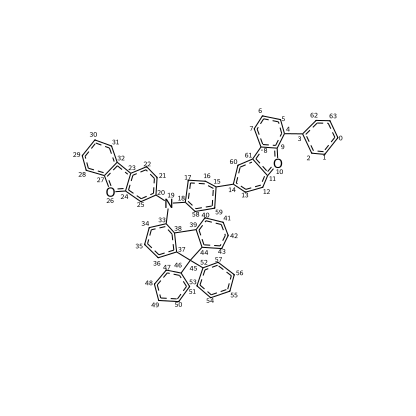 c1ccc(-c2cccc3c2oc2ccc(-c4ccc(N(c5ccc6c(c5)oc5ccccc56)c5cccc6c5-c5ccccc5C6(c5ccccc5)c5ccccc5)cc4)cc23)cc1